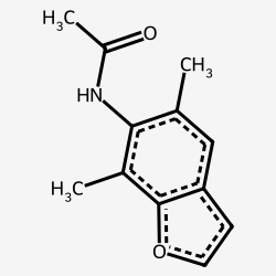 CC(=O)Nc1c(C)cc2ccoc2c1C